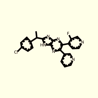 CC(c1ccc(Cl)cc1)c1nc2nc(-c3ccncc3F)c(-c3cccnc3)nc2[nH]1